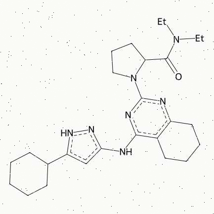 CCN(CC)C(=O)C1CCCN1c1nc2c(c(Nc3cc(C4CCCCC4)[nH]n3)n1)CCCC2